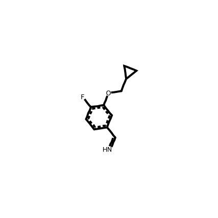 N=Cc1ccc(F)c(OCC2CC2)c1